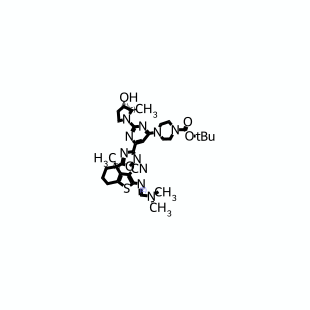 C[C@H]1[C@@H](O)CCN1c1nc(-c2noc([C@@]3(C)CCCc4sc(/N=C/N(C)C)c(C#N)c43)n2)cc(N2CCN(C(=O)OC(C)(C)C)CC2)n1